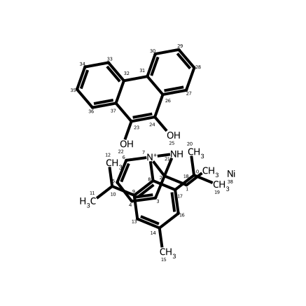 CCC12C=CC=C[N+]1(c1c(C(C)C)cc(C)cc1C(C)C)N2.Oc1c(O)c2ccccc2c2ccccc12.[Ni]